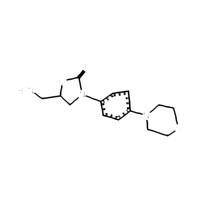 NCC1CN(c2ccc(N3CCSCC3)cc2)C(=O)O1